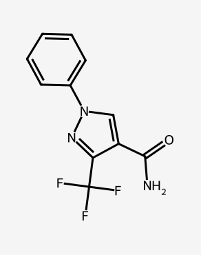 NC(=O)c1cn(-c2ccccc2)nc1C(F)(F)F